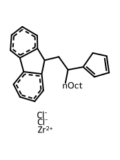 CCCCCCCCC(CC1c2ccccc2-c2ccccc21)C1=CC=CC1.[Cl-].[Cl-].[Zr+2]